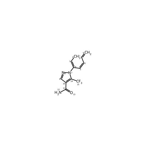 C=C/C=C\C(=C/C)n1ncc(C(N)=O)c1C(F)(F)F